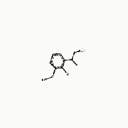 CCOc1cccc([C](C)CO)c1Br